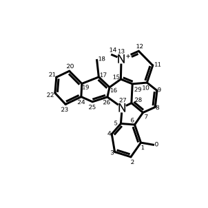 Cc1cccc2c1c1ccc3cc[n+](C)c4c5c(C)c6ccccc6cc5n2c1c34